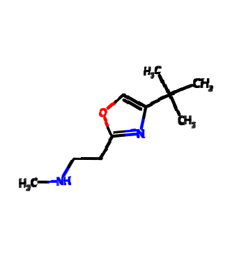 CNCCc1nc(C(C)(C)C)co1